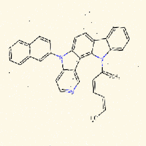 C=C(/C=C\C=C/C)n1c2ccccc2c2ccc3c(c4cnccc4n3-c3ccc4ccccc4c3)c21